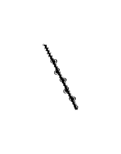 CCCCCCCCCCCCOC(=O)CCCCCOC(=O)CCCCCOC(=O)CCCCCOC(=O)CCCCCOC(=O)CCCCCOC